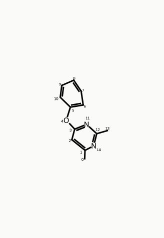 Cc1cc(Oc2ccccc2)nc(C)n1